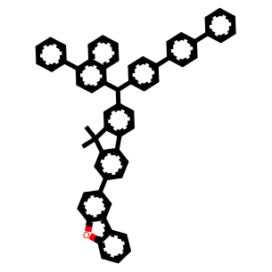 CC1(C)c2cc(-c3ccc4oc5ccccc5c4c3)ccc2-c2ccc(C(c3ccc(-c4ccc(-c5ccccc5)cc4)cc3)c3ccc(-c4ccccc4)c4ccccc34)cc21